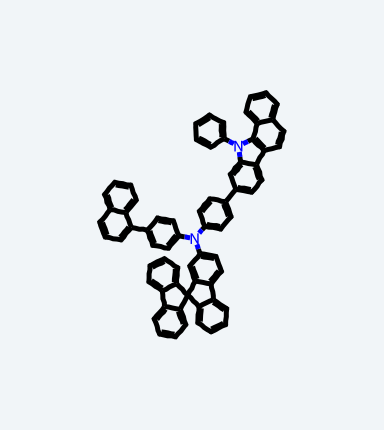 c1ccc(-n2c3cc(-c4ccc(N(c5ccc(-c6cccc7ccccc67)cc5)c5ccc6c(c5)C5(c7ccccc7-c7ccccc75)c5ccccc5-6)cc4)ccc3c3ccc4ccccc4c32)cc1